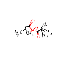 CC(C)CC(=O)OOC(=O)C(C)(C)C